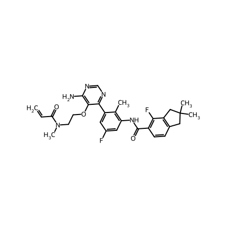 C=CC(=O)N(C)CCOc1c(N)ncnc1-c1cc(F)cc(NC(=O)c2ccc3c(c2F)CC(C)(C)C3)c1C